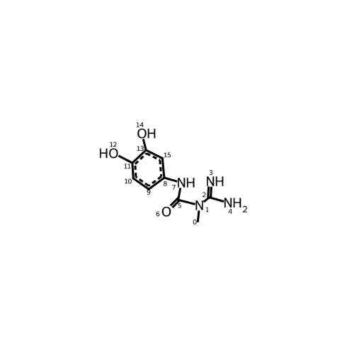 CN(C(=N)N)C(=O)Nc1ccc(O)c(O)c1